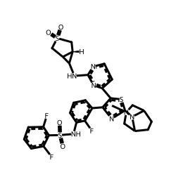 CN1CC2CCC(C1)N2c1nc(-c2cccc(NS(=O)(=O)c3c(F)cccc3F)c2F)c(-c2ccnc(NC3C4CS(=O)(=O)C[C@@H]43)n2)s1